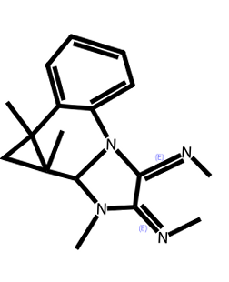 C/N=C1\C(=N/C)N2c3ccccc3C3(C)CC3(C)C2N1C